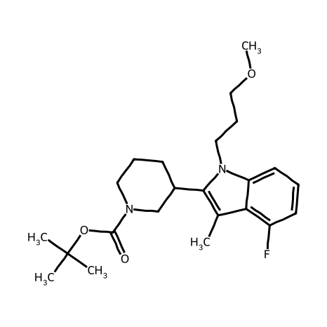 COCCCn1c(C2CCCN(C(=O)OC(C)(C)C)C2)c(C)c2c(F)cccc21